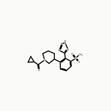 CS(=O)(=O)c1cccc(C2CCCN(C(=O)C3CC3)C2)c1-c1nn[nH]n1